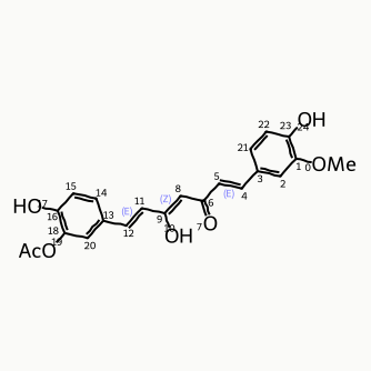 COc1cc(/C=C/C(=O)/C=C(O)/C=C/c2ccc(O)c(OC(C)=O)c2)ccc1O